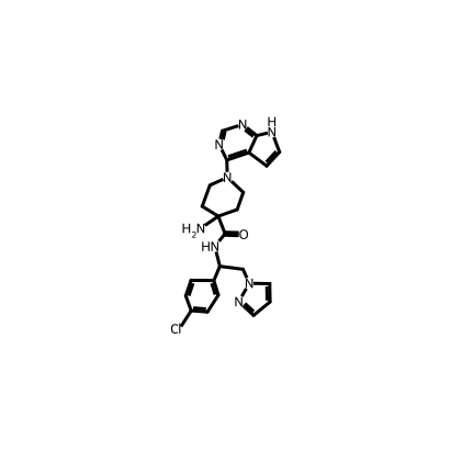 NC1(C(=O)NC(Cn2cccn2)c2ccc(Cl)cc2)CCN(c2ncnc3[nH]ccc23)CC1